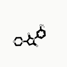 Cc1cccc(N2C(=O)CC(N3CCOCC3)C2=O)c1